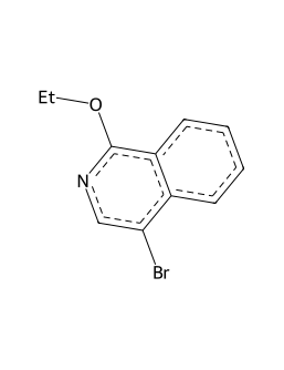 CCOc1ncc(Br)c2ccccc12